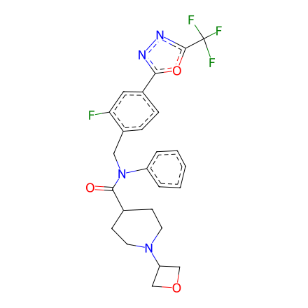 O=C(C1CCN(C2COC2)CC1)N(Cc1ccc(-c2nnc(C(F)(F)F)o2)cc1F)c1ccccc1